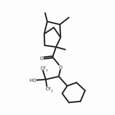 CC1C2CC(C1C)C(C)(C(=O)OC(C1CCCCC1)C(O)(C(F)(F)F)C(F)(F)F)C2